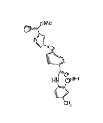 CNC(=O)c1cc(Oc2ccc(C(=O)Nc3ccc(C)cc3O)cc2)ccn1